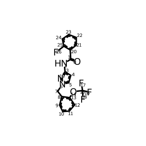 O=C(Nc1ccn(Cc2ccccc2OC(F)(F)F)n1)c1ccccc1F